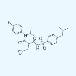 CC(C)Cc1ccc(S(=O)(=O)NC(=O)C(CC2CC2)C(=O)N(c2ccc(F)cc2)C(C)C)cc1